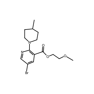 COCCOC(=O)c1cc(Br)cnc1N1CCC(C)CC1